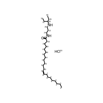 CCCCCCCC/C=C\CCCCCCCCCCCC(=O)NCCCNC(CC)CC.Cl